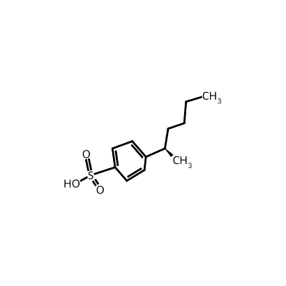 CCCC[C@@H](C)c1ccc(S(=O)(=O)O)cc1